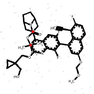 C#Cc1c(F)ccc2cc(OCOC)cc(-c3c(F)cc4c(N5CC6CCC(C5)N6C(=O)OC(C)(C)C)nc(OCC5(CO)CC5)nc4c3F)c12